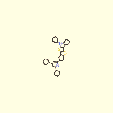 c1ccc(-c2cc(-c3ccccc3)nc(-c3ccc4sc5c(sc6c5c5ccccc5n6-c5ccccc5)c4c3)c2)cc1